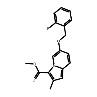 COC(=O)c1c(C)cc2ccc(OCc3ccccc3F)cn12